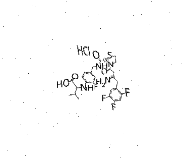 CC(C)C(Nc1ccc(CNC(=O)[C@@H]2SCCN2C(=O)C[C@H](N)Cc2cc(F)c(F)cc2F)cc1F)C(=O)O.Cl